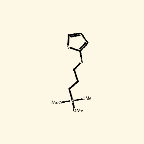 CO[Si](CCCSc1cccs1)(OC)OC